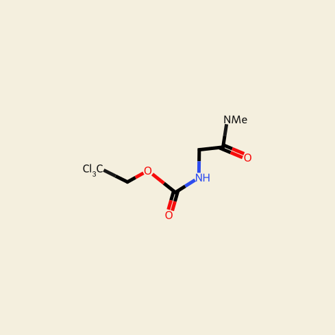 CNC(=O)CNC(=O)OCC(Cl)(Cl)Cl